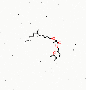 CCCCCCC(C)CCCCCOC(C)(C)C(=O)OCC(CC)OC(C)CC